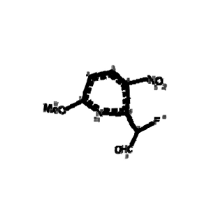 COc1ccc([N+](=O)[O-])c(C(F)C=O)n1